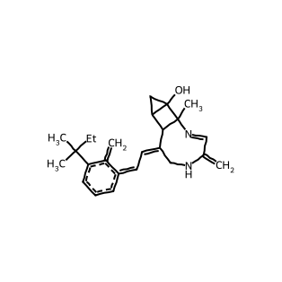 C=C1/C=N/C2(C)C(/C(=C/C=c3/cccc(C(C)(C)CC)c3=C)CN1)C1CC12O